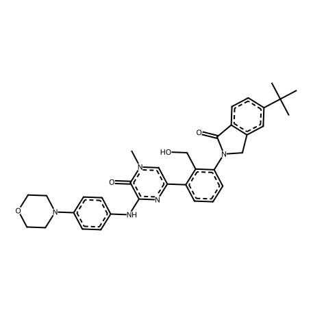 Cn1cc(-c2cccc(N3Cc4cc(C(C)(C)C)ccc4C3=O)c2CO)nc(Nc2ccc(N3CCOCC3)cc2)c1=O